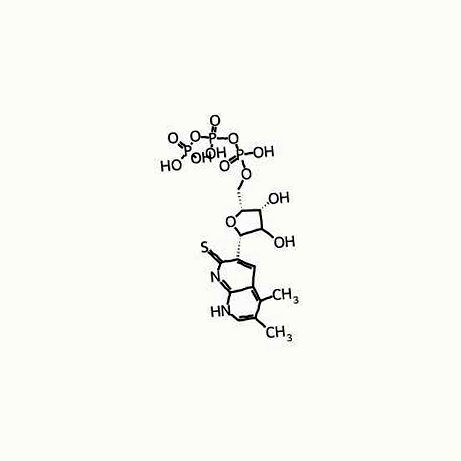 Cc1c[nH]c2nc(=S)c([C@@H]3O[C@H](COP(=O)(O)OP(=O)(O)OP(=O)(O)O)[C@H](O)C3O)cc-2c1C